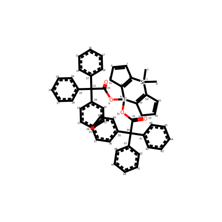 C[Si]1(C)C2=[C](CC=C2)[Ti]([O]C(=O)C(c2ccccc2)(c2ccccc2)c2ccccc2)([O]C(=O)C(c2ccccc2)(c2ccccc2)c2ccccc2)[C]2=C1C=CC2